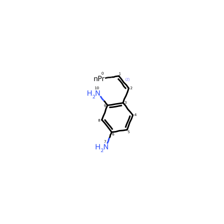 CCC/C=C\c1ccc(N)cc1N